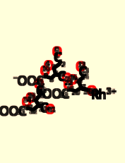 O=C=CC(=O)C(=C=O)CC(=O)C(=O)[O-].O=C=CC(=O)C(=C=O)CC(=O)C(=O)[O-].O=C=CC(=O)C(=C=O)CC(=O)C(=O)[O-].[Rh+3]